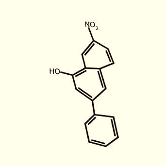 O=[N+]([O-])c1ccc2cc(-c3ccccc3)cc(O)c2c1